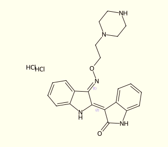 Cl.Cl.O=C1Nc2ccccc2/C1=C1/Nc2ccccc2/C1=N\OCCN1CCNCC1